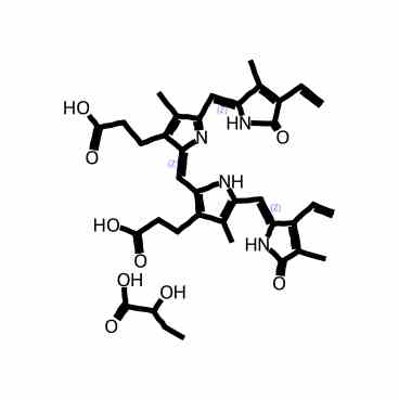 C=CC1=C(C)/C(=C/C2=NC(=C\c3[nH]c(/C=C4\NC(=O)C(C)=C4C=C)c(C)c3CCC(=O)O)/C(CCC(=O)O)=C2C)NC1=O.CCC(O)C(=O)O